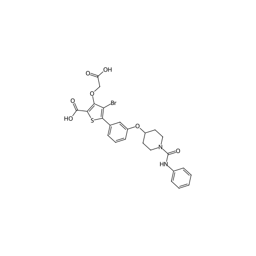 O=C(O)COc1c(C(=O)O)sc(-c2cccc(OC3CCN(C(=O)Nc4ccccc4)CC3)c2)c1Br